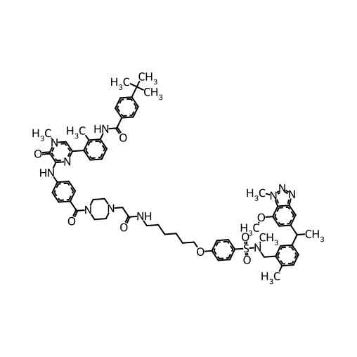 COc1cc(C(C)c2ccc(C)c(CN(C)S(=O)(=O)c3ccc(OCCCCCCNC(=O)CN4CCN(C(=O)c5ccc(Nc6nc(-c7cccc(NC(=O)c8ccc(C(C)(C)C)cc8)c7C)cn(C)c6=O)cc5)CC4)cc3)c2)cc2nnn(C)c12